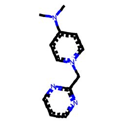 CN(C)c1cc[n+](Cc2ncccn2)cc1